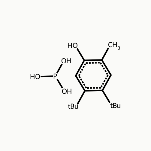 Cc1cc(C(C)(C)C)c(C(C)(C)C)cc1O.OP(O)O